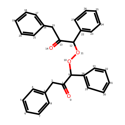 O=C(Cc1ccccc1)C(OOC(C(=O)Cc1ccccc1)c1ccccc1)c1ccccc1